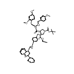 CCOC(=O)[C@@]1(Cc2ccc(OCc3cc(-c4ccccc4)nc4ccccc34)cc2)CN(C(=O)OC(C)(C)C)C[C@@H]1C(=O)N(Cc1ccc(OC)cc1OC)OCc1ccc(OC)cc1